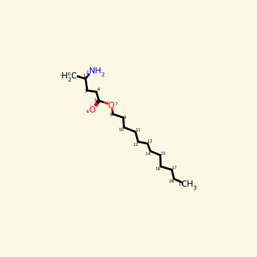 [CH2]C(N)CCC(=O)OCCCCCCCCCCCC